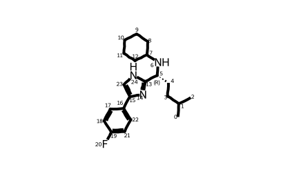 CC(C)CC[C@@H](NC1CCCCC1)c1nc(-c2ccc(F)cc2)c[nH]1